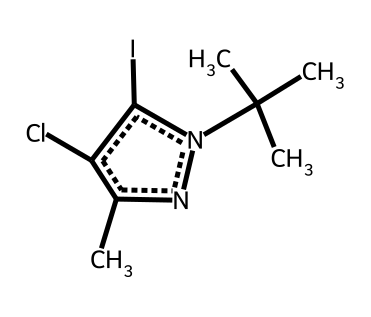 Cc1nn(C(C)(C)C)c(I)c1Cl